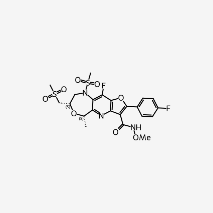 CONC(=O)c1c(-c2ccc(F)cc2)oc2c(F)c3c(nc12)[C@H](C)O[C@H](CS(C)(=O)=O)CN3S(C)(=O)=O